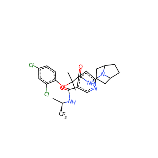 C[C@@H](NC(=O)c1ccc(N2C3CCC2CC(NC(=O)C(C)(C)Oc2ccc(Cl)cc2Cl)C3)nc1)C(F)(F)F